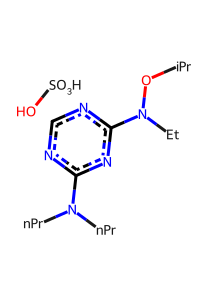 CCCN(CCC)c1ncnc(N(CC)OC(C)C)n1.O=S(=O)(O)O